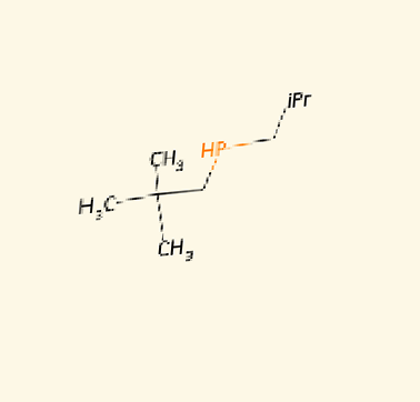 CC(C)CPCC(C)(C)C